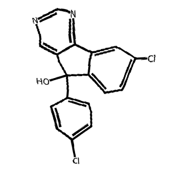 OC1(c2ccc(Cl)cc2)c2ccc(Cl)cc2-c2ncncc21